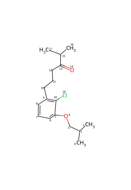 CC(C)COc1cccc(CCCC(=O)C(C)C)c1Cl